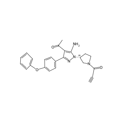 C#CC(=O)N1CC[C@@H](n2nc(-c3ccc(Oc4ccccc4)cc3)c(C(C)=O)c2N)C1